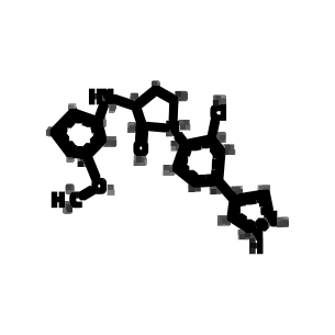 COc1cccc(NC2CCN(c3ccc(-c4cn[nH]c4)cc3Cl)C2=O)c1